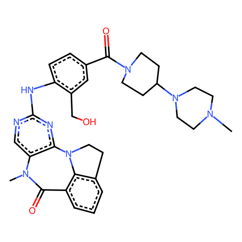 CN1CCN(C2CCN(C(=O)c3ccc(Nc4ncc5c(n4)N4CCc6cccc(c64)C(=O)N5C)c(CO)c3)CC2)CC1